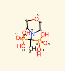 CC(N1CCOCC1)(P(=O)(O)O)P(=O)(O)O